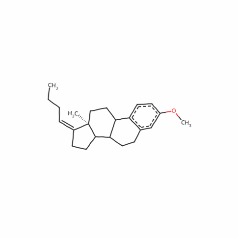 CCC/C=C1/CCC2C3CCc4cc(OC)ccc4C3CC[C@]12C